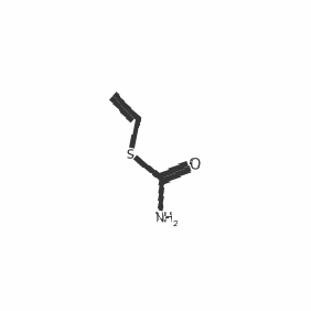 C=CSC(N)=O